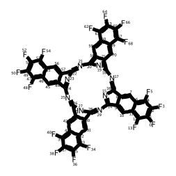 Fc1c(F)c(F)c2cc3c(cc2c1F)-c1nc-3nc2[nH]c(nc3nc(nc4[nH]c(n1)c1cc5c(F)c(F)c(F)c(F)c5cc41)-c1cc4c(F)c(F)c(F)c(F)c4cc1-3)c1cc3c(F)c(F)c(F)c(F)c3cc21